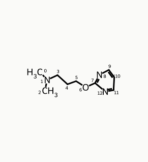 CN(C)CCCOc1nc[c]cn1